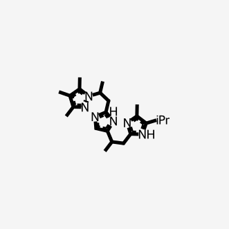 Cc1nc(CC(C)c2cnc(CC(C)n3nc(C)c(C)c3C)[nH]2)[nH]c1C(C)C